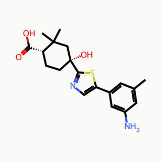 Cc1cc(N)cc(-c2cnc([C@@]3(O)CC[C@H](C(=O)O)C(C)(C)C3)s2)c1